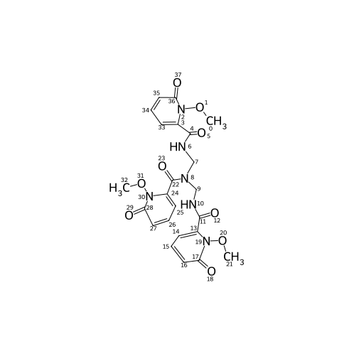 COn1c(C(=O)NCN(CNC(=O)c2cccc(=O)n2OC)C(=O)c2cccc(=O)n2OC)cccc1=O